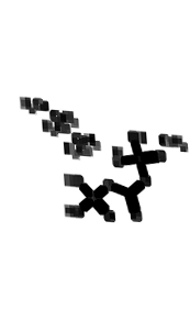 O=C(OP(=O)(O)O)OP(=O)(O)O.[CaH2].[CaH2].[CaH2].[CaH2].[CaH2].[CaH2]